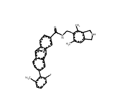 Cc1cc2c(c(C)c1CNC(=O)c1ccc3c(c1)c1oc3c3ccc(-c4c(C)cccc4F)cc31)CNC2